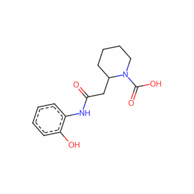 O=C(CC1CCCCN1C(=O)O)Nc1ccccc1O